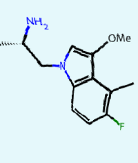 COc1cn(C[C@H](C)N)c2ccc(F)c(C)c12